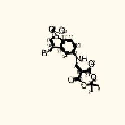 CC1(C)OC(=O)C(=CNc2ccc3c(c2)C(Br)=CS3(=O)=O)C(=O)O1